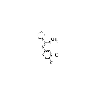 CSC(=Nc1ccc(Cl)c(Cl)c1)N1CCCC1